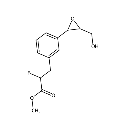 COC(=O)C(F)Cc1cccc(C2OC2CO)c1